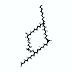 CCCCCCCC/C=C\CCCCCCCCN(C)CCSSCCN(C)CCC(CCCCCCCCC)CCCCCCCC1CC1CCCCCCCC